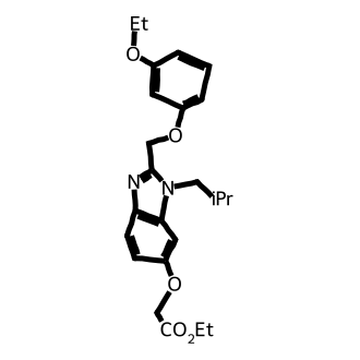 CCOC(=O)COc1ccc2nc(COc3cccc(OCC)c3)n(CC(C)C)c2c1